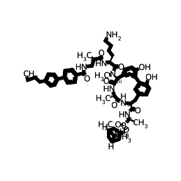 CCCCc1ccc(-c2ccc(C(=O)NC[C@@H](C)C(=O)N[C@@H](CCCCN)C(=O)N(C)[C@@H]3C(=O)N[C@@H](C)C(=O)N[C@H](C(=O)N[C@@H](C)B4OC5C[C@@H]6C[C@@H](C6(C)C)[C@]5(C)O4)Cc4ccc(O)c(c4)-c4cc3ccc4O)cc2)cc1